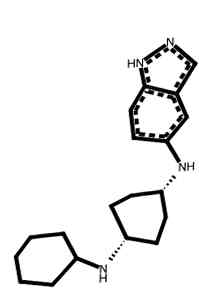 c1cc2[nH]ncc2cc1N[C@H]1CC[C@@H](NC2CCCCC2)CC1